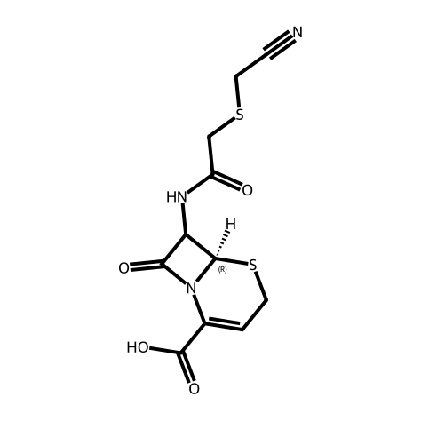 N#CCSCC(=O)NC1C(=O)N2C(C(=O)O)=CCS[C@H]12